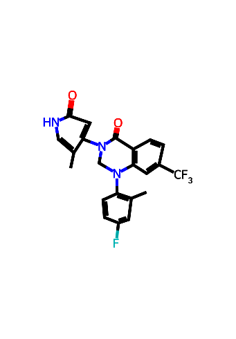 Cc1c[nH]c(=O)cc1N1CN(c2ccc(F)cc2C)c2cc(C(F)(F)F)ccc2C1=O